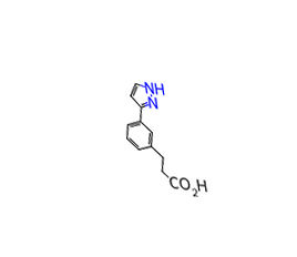 O=C(O)CCc1cccc(-c2cc[nH]n2)c1